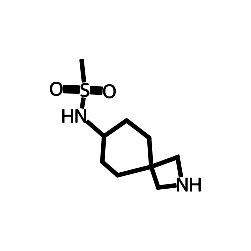 CS(=O)(=O)NC1CCC2(CC1)CNC2